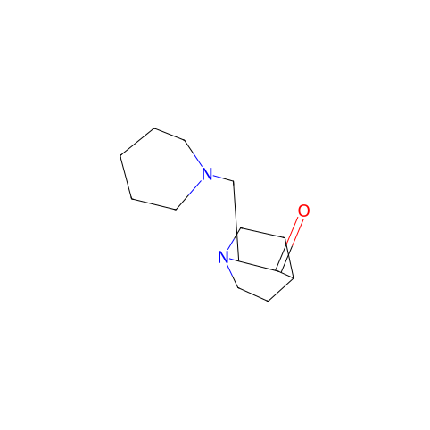 O=C1C2CCN(CC2)C1CN1CCCCC1